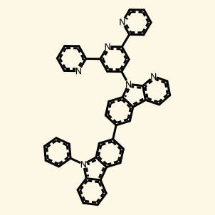 c1ccc(-n2c3ccccc3c3ccc(-c4ccc5c(c4)c4cccnc4n5-c4cc(-c5ccccn5)nc(-c5ccccn5)c4)cc32)cc1